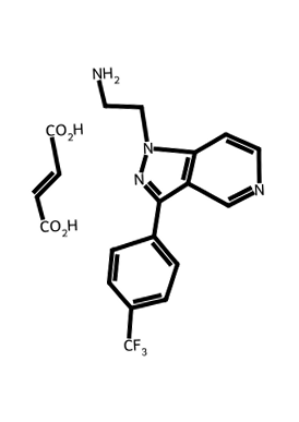 NCCn1nc(-c2ccc(C(F)(F)F)cc2)c2cnccc21.O=C(O)C=CC(=O)O